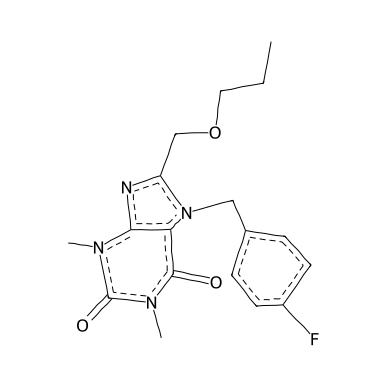 CCCOCc1nc2c(c(=O)n(C)c(=O)n2C)n1Cc1ccc(F)cc1